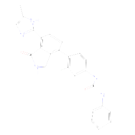 Cc1cccc(NC(=O)Nc2ccc(-c3ccc(-c4ncc(C)[nH]4)c4c3CNC4=O)c(F)c2)c1